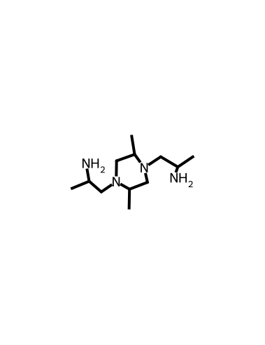 CC(N)CN1CC(C)N(CC(C)N)CC1C